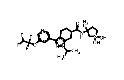 CC(C)n1nc(-c2cncc(OC(F)(F)C(F)F)c2)c2c1CC(C(=O)NC1(C)CCS(O)(O)C1)CC2